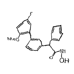 COc1ccc(F)cc1-c1cccc(C(C(=O)NO)c2ccccc2)c1